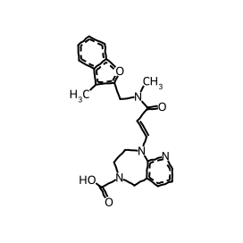 Cc1c(CN(C)C(=O)C=CN2CCN(C(=O)O)Cc3cccnc32)oc2ccccc12